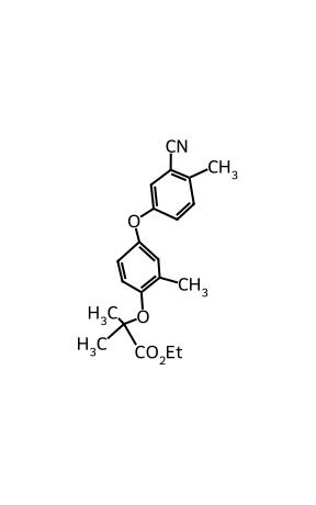 CCOC(=O)C(C)(C)Oc1ccc(Oc2ccc(C)c(C#N)c2)cc1C